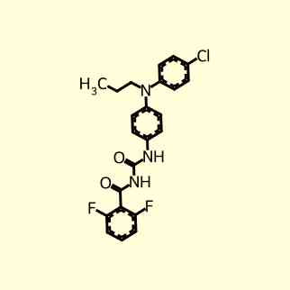 CCCN(c1ccc(Cl)cc1)c1ccc(NC(=O)NC(=O)c2c(F)cccc2F)cc1